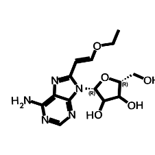 CCOC=Cc1nc2c(N)ncnc2n1[C@@H]1O[C@H](CO)C(O)C1O